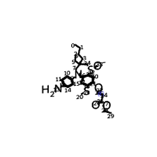 CCCCC1(CC)CN(c2ccc(N)cc2)c2cc(SC)c(O/C=C/C(=O)OCC)cc2[S+]([O-])C1